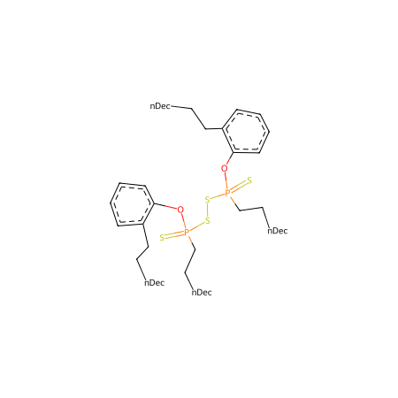 CCCCCCCCCCCCc1ccccc1OP(=S)(CCCCCCCCCCCC)SSP(=S)(CCCCCCCCCCCC)Oc1ccccc1CCCCCCCCCCCC